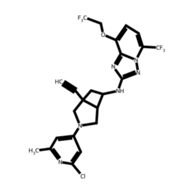 C#CC12CC(Nc3nc4c(OCC(F)(F)F)ccc(C(F)(F)F)n4n3)C1CN(c1cc(C)nc(Cl)c1)C2